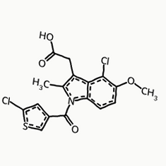 COc1ccc2c(c1Cl)c(CC(=O)O)c(C)n2C(=O)c1csc(Cl)c1